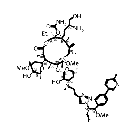 C=C1[C@H](C)C[C@@](C)(OC)[C@H](O[C@@H]2O[C@H](C)C[C@H](N(C)CCc3cn([C@H](CF)[C@H](OC)c4ccc(-c5ccc(C)nc5)cc4)nn3)[C@H]2O)[C@@H](C)C([C@H]2C[C@@](C)(OC)[C@@H](O)[C@H](C)O2)[C@@H](C)C(=O)O[C@H](CC)[C@@](C)(OC(N)=O)[C@@](C)(CC[C@H](N)CO)[C@H]1C